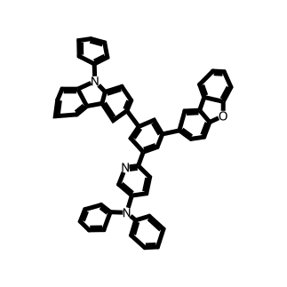 c1ccc(N(c2ccccc2)c2ccc(-c3cc(-c4ccc5oc6ccccc6c5c4)cc(-c4ccc5c(c4)c4ccccc4n5-c4ccccc4)c3)nc2)cc1